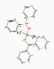 C[Si](C)(OC(c1ccccc1)c1ccccc1)OC(c1ccccc1)c1ccccc1